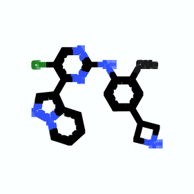 COc1cc(C2CNC2)ccc1Nc1ncc(Cl)c(-c2cnn3ccccc23)n1